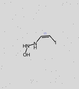 ONN/C=C\I